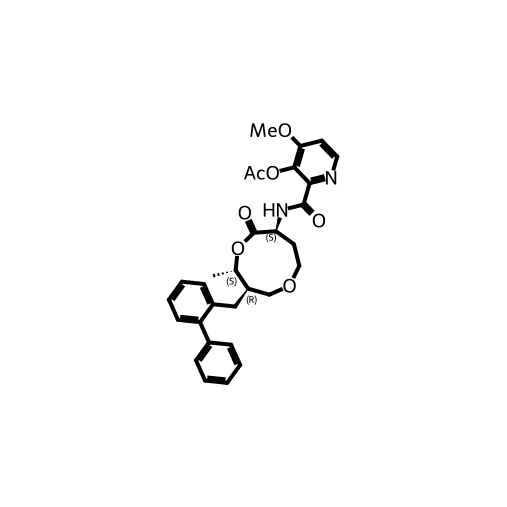 COc1ccnc(C(=O)N[C@H]2CCOC[C@@H](Cc3ccccc3-c3ccccc3)[C@H](C)OC2=O)c1OC(C)=O